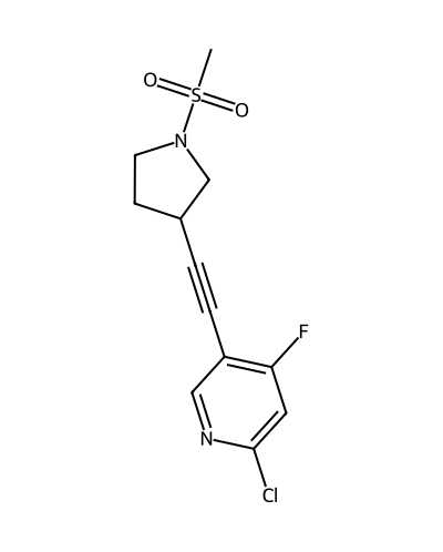 CS(=O)(=O)N1CCC(C#Cc2cnc(Cl)cc2F)C1